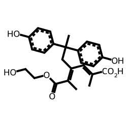 CC(=CC(CC(C)(c1ccc(O)cc1)c1ccc(O)cc1)=C(C)C(=O)OCCO)C(=O)O